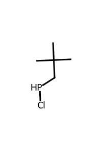 CC(C)(C)CPCl